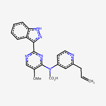 C=CCc1cc(N(C(=O)O)c2nc(-c3n[nH]c4ccccc34)ncc2OC)ccn1